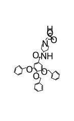 O=C(NC1CCN(C[SH](=O)=O)CC1)c1cc(OCc2ccccc2)c(OCc2ccccc2)c(OCc2ccccc2)c1